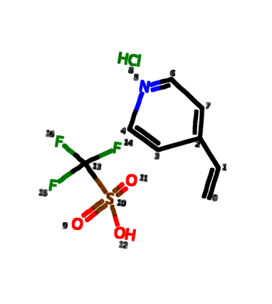 C=Cc1ccncc1.Cl.O=S(=O)(O)C(F)(F)F